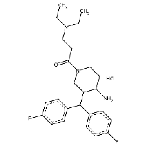 CCN(CC)CCC(=O)N1CCC(N)C(C(c2ccc(F)cc2)c2ccc(F)cc2)C1.Cl